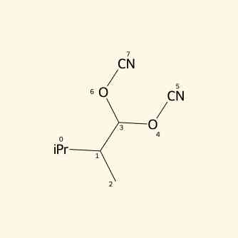 CC(C)C(C)C(OC#N)OC#N